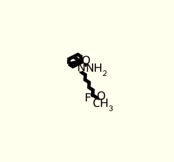 CC(=O)C(F)CCCCCCN(C(N)=O)C12CC3CC(CC(C3)C1)C2